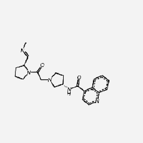 CN=C[C@@H]1CCCN1C(=O)CN1CC[C@H](NC(=O)c2ccnc3ccccc23)C1